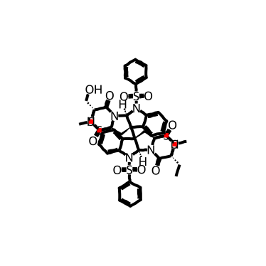 CC[C@]12SS[C@@]3(C[C@]4([C@]56C[C@@]78SS[C@@](CO)(C(=O)N7[C@H]5N(S(=O)(=O)c5ccccc5)c5ccccc56)N(C)C8=O)c5ccccc5N(S(=O)(=O)c5ccccc5)[C@@H]4N3C1=O)C(=O)N2C